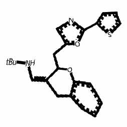 CC(C)(C)N/C=C1/Cc2ccccc2OC1Cc1cnc(-c2cccs2)o1